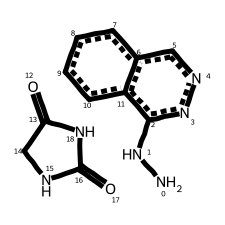 NNc1nncc2ccccc12.O=C1CNC(=O)N1